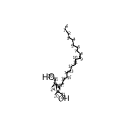 CCCCCCCC/C=C\CCCCCCCCN(C(C)CO)C(C)CO